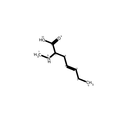 CCC=CCC(NC)C(=O)O